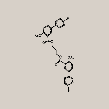 CC(=O)Oc1ccc(-c2ccc(F)cc2)cc1C(=O)OCCCOC(=O)c1cc(-c2ccc(F)cc2)ccc1OC(C)=O